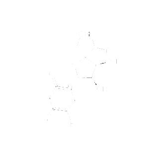 O=c1[nH]c(=O)n([C@@H]2O[C@@](CO)(C(F)F)[C@@H](O)[C@H]2O)cc1F